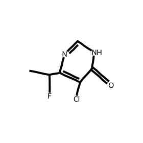 CC(F)c1nc[nH]c(=O)c1Cl